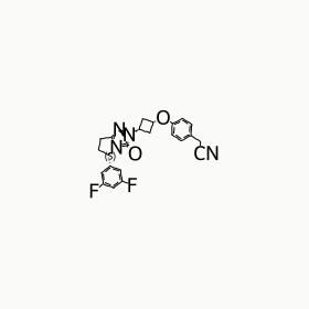 N#CCc1ccc(O[C@H]2C[C@H](n3nc4n(c3=O)[C@H](c3cc(F)cc(F)c3)CC4)C2)cc1